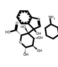 NC1CCCCC1.O=C(O)[C@H]1O[C@@H](O)[C@H](O)[C@@H](O)[C@@]1(O)C1(O)C=Nc2ccccc21